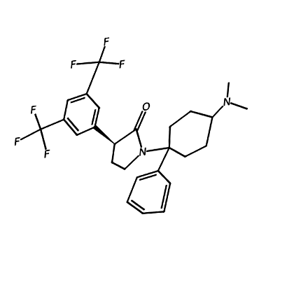 CN(C)C1CCC(c2ccccc2)(N2CC[C@@H](c3cc(C(F)(F)F)cc(C(F)(F)F)c3)C2=O)CC1